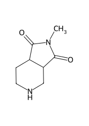 CN1C(=O)C2CCNCC2C1=O